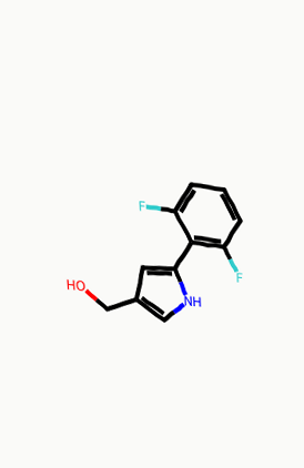 OCc1c[nH]c(-c2c(F)cccc2F)c1